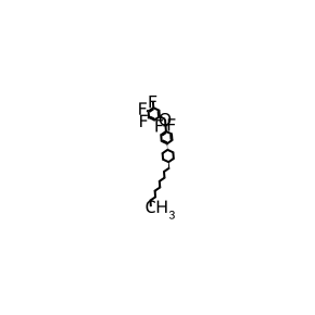 CCCCCCCCC[C@H]1CC[C@H](c2ccc(C(F)(F)Oc3cc(F)c(F)c(F)c3)cc2)CC1